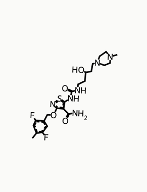 Cc1cc(F)c(COc2nsc(NC(=O)NCCC(O)CCN3CCN(C)CC3)c2C(N)=O)cc1F